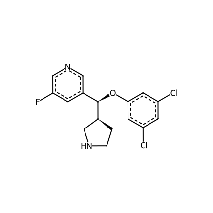 Fc1cncc([C@@H](Oc2cc(Cl)cc(Cl)c2)[C@H]2CCNC2)c1